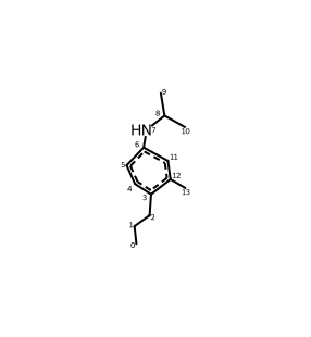 CCCc1ccc(NC(C)C)cc1C